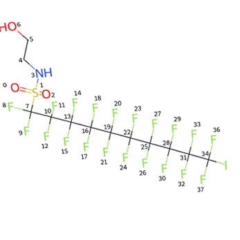 O=S(=O)(NCCO)C(F)(F)C(F)(F)C(F)(F)C(F)(F)C(F)(F)C(F)(F)C(F)(F)C(F)(F)C(F)(F)C(F)(F)F